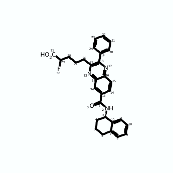 O=C(N[C@@H]1CCCc2ccccc21)c1ccc2nc(-c3ccccc3)c(CCCC(F)C(=O)O)nc2c1